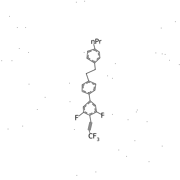 CCCc1ccc(CCc2ccc(-c3cc(F)c(C#CC(F)(F)F)c(F)c3)cc2)cc1